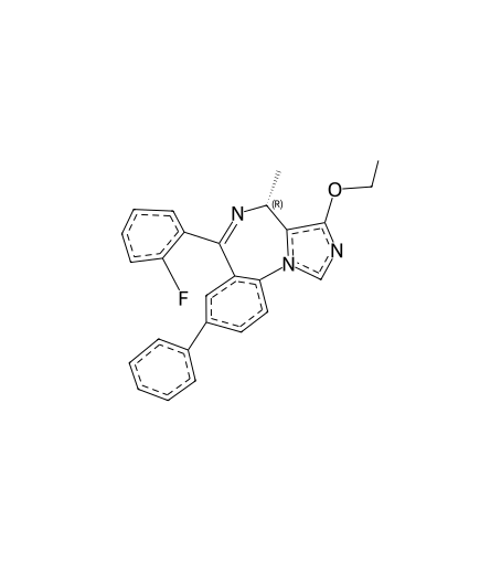 CCOc1ncn2c1[C@@H](C)N=C(c1ccccc1F)c1cc(-c3ccccc3)ccc1-2